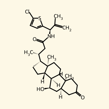 C=C(C)[C@@H](NC(=O)C[C@@H](C)[C@H]1CC[C@H]2[C@@H]3[C@H](O)C[C@@H]4CC(=O)CC[C@]4(C)[C@H]3CC[C@]12C)c1ccc(Cl)s1